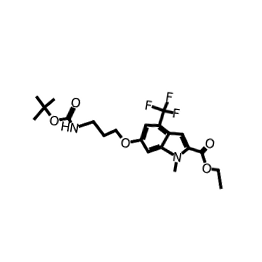 CCOC(=O)c1cc2c(C(F)(F)F)cc(OCCCNC(=O)OC(C)(C)C)cc2n1C